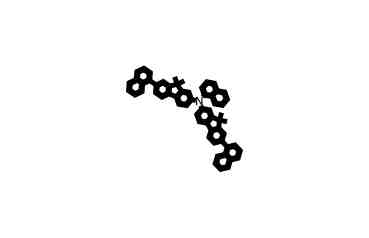 CC1(C)c2cc(-c3cccc4ccccc34)ccc2-c2ccc(N(c3ccc4c(c3)C(C)(C)c3cc(-c5cccc6ccccc56)ccc3-4)c3cccc4ccccc34)cc21